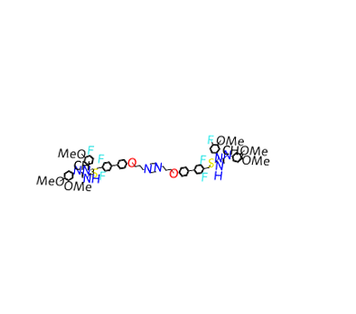 COc1cc(N2C(N(C)c3ccc(OC)c(OC)c3)=CNC2SCc2c(F)cc(-c3ccc(OCCCN4CCN(CCCOc5ccc(-c6cc(F)c(CSC7NC=C(N(C)c8ccc(OC)c(OC)c8)N7c7ccc(F)c(OC)c7)c(F)c6)cc5)CC4)cc3)cc2F)ccc1F